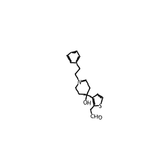 O=CCc1sccc1C1(O)CCN(CCc2ccccc2)CC1